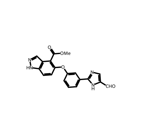 COC(=O)c1c(Oc2cccc(-c3ncc(C=O)[nH]3)c2)ccc2[nH]ncc12